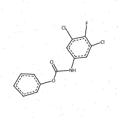 O=C(Nc1cc(Cl)c(F)c(Cl)c1)Oc1ccccc1